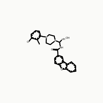 CCCC(NC(=O)c1ccc2oc3ccccc3c2c1)N1CCN(c2cccc(Cl)c2C)CC1.Cl